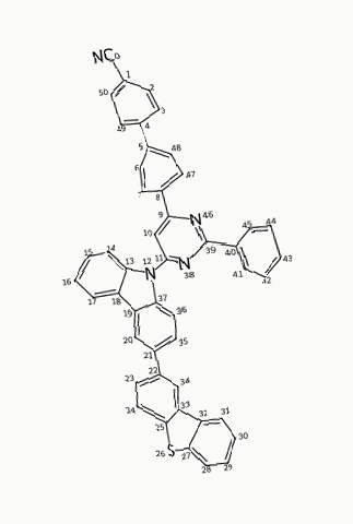 N#Cc1ccc(-c2ccc(-c3cc(-n4c5ccccc5c5cc(-c6ccc7sc8ccccc8c7c6)ccc54)nc(-c4ccccc4)n3)cc2)cc1